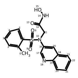 Cc1ccccc1S(=O)(=O)N(CC(=O)NO)c1cnc2ccccc2c1